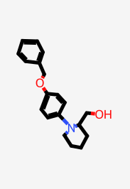 OCC1CCCCN1c1ccc(OCc2ccccc2)cc1